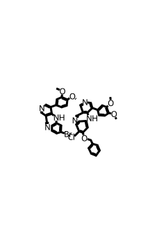 COc1ccc(-c2cncc(C#N)c2Nc2ccc(Cl)c(OCc3ccccc3)c2)cc1OC.COc1ccc(-c2cncc(C#N)c2Nc2cccc(Br)c2)cc1OC